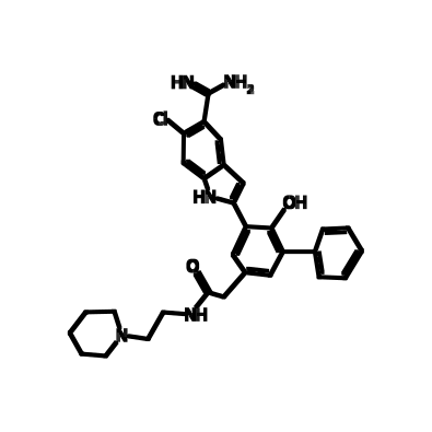 N=C(N)c1cc2cc(-c3cc(CC(=O)NCCN4CCCCC4)cc(-c4ccccc4)c3O)[nH]c2cc1Cl